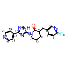 O=C1C(Cc2ccc(F)nc2)CCCN1c1nc(-c2ccncc2)n[nH]1